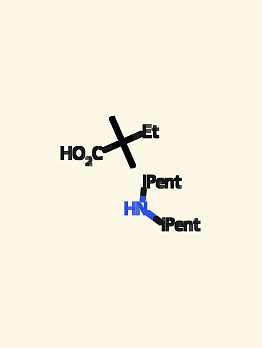 CCC(C)(C)C(=O)O.CCCC(C)NC(C)CCC